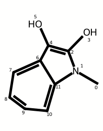 Cn1c(O)c(O)c2ccccc21